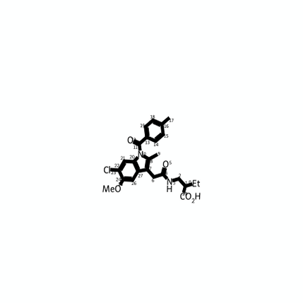 CCC(CNC(=O)Cc1c(C)n(C(=O)c2ccc(C)cc2)c2cc(Cl)c(OC)cc12)C(=O)O